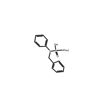 CCCCCP(=O)(O)N(Cc1ccccc1)c1ccccc1